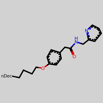 CCCCCCCCCCCCCCOc1ccc(CC(=O)NCc2ccccn2)cc1